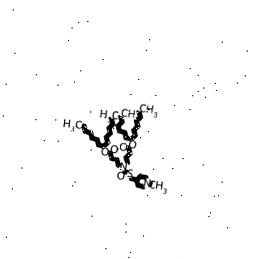 CCCCCCCC(CCCCCCC)OC(=O)CCCN(CCCC(=O)OC(CCCCCCC)CCCCCCC)C(=O)SCC1CCN(C)CC1